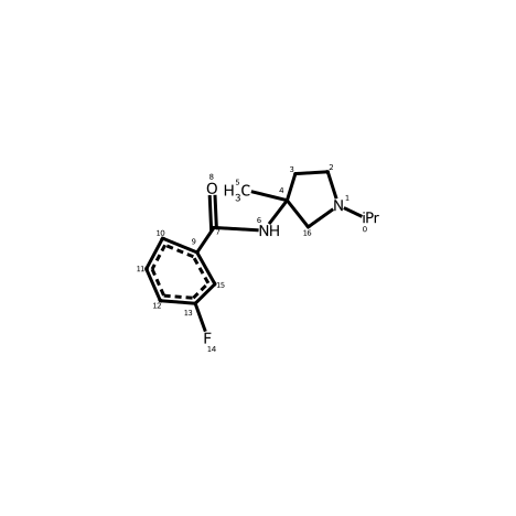 CC(C)N1CCC(C)(NC(=O)c2cccc(F)c2)C1